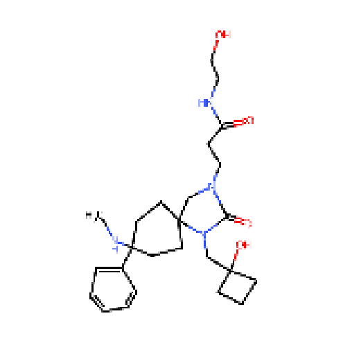 CNC1(c2ccccc2)CCC2(CC1)CN(CCC(=O)NCCO)C(=O)N2CC1(O)CCC1